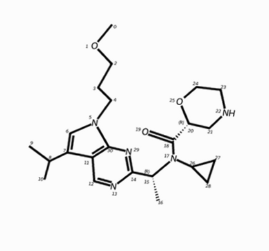 COCCCn1cc(C(C)C)c2cnc([C@@H](C)N(C(=O)[C@H]3CNCCO3)C3CC3)nc21